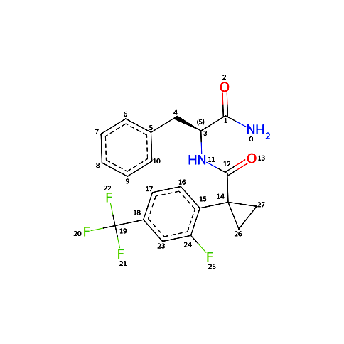 NC(=O)[C@H](Cc1ccccc1)NC(=O)C1(c2ccc(C(F)(F)F)cc2F)CC1